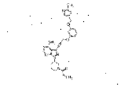 C=CC(=O)N1CCCC(n2nc(C#CCOc3cccc(OCc4cnc(C)s4)c3)c3c(N)ncnc32)C1